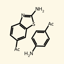 CC(=O)c1ccc(N)cc1.CC(=O)c1ccc2nc(N)sc2c1